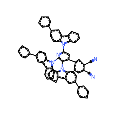 N#Cc1ccc(-c2cc(-n3c4ccccc4c4cc(-c5ccccc5)ccc43)nc(-n3c4ccccc4c4cc(-c5ccccc5)ccc43)c2-n2c3ccccc3c3cc(-c4ccccc4)ccc32)cc1C#N